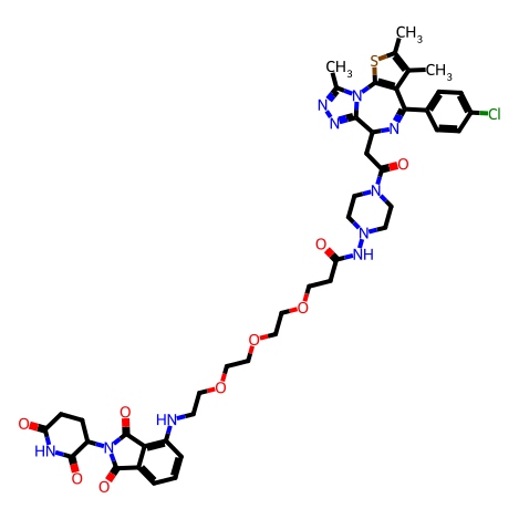 Cc1sc2c(c1C)C(c1ccc(Cl)cc1)=NC(CC(=O)N1CCN(NC(=O)CCOCCOCCOCCNc3cccc4c3C(=O)N(C3CCC(=O)NC3=O)C4=O)CC1)c1nnc(C)n1-2